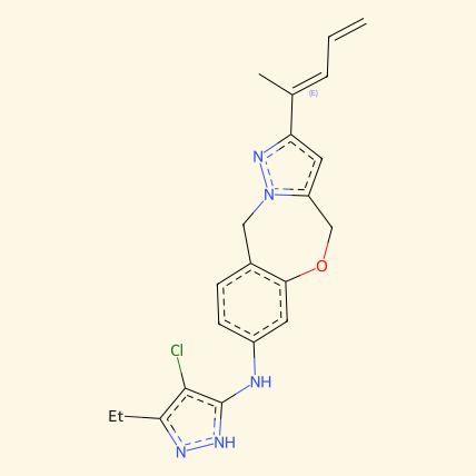 C=C/C=C(\C)c1cc2n(n1)Cc1ccc(Nc3[nH]nc(CC)c3Cl)cc1OC2